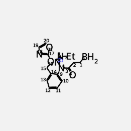 BCCC(=O)N(/N=N\CC)c1ccccc1COc1ncco1